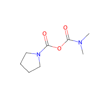 CN(C)C(=O)OC(=O)N1CCCC1